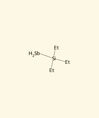 CC[Si]([SbH2])(CC)CC